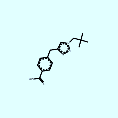 CC(C)(F)Cn1cc(Cc2ccc(C(=O)O)cc2)nn1